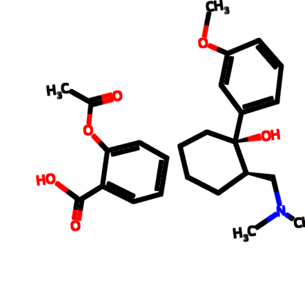 CC(=O)Oc1ccccc1C(=O)O.COc1cccc([C@@]2(O)CCCC[C@@H]2CN(C)C)c1